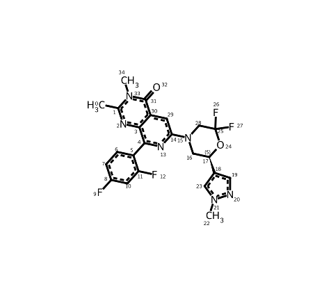 Cc1nc2c(-c3ccc(F)cc3F)nc(N3C[C@H](c4cnn(C)c4)OC(F)(F)C3)cc2c(=O)n1C